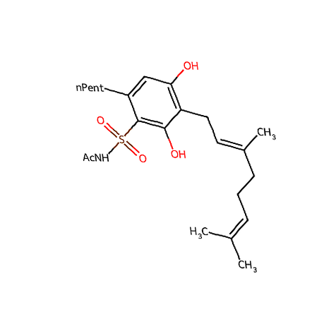 CCCCCc1cc(O)c(C/C=C(\C)CCC=C(C)C)c(O)c1S(=O)(=O)NC(C)=O